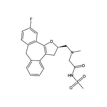 CN(CC(=O)NS(C)(=O)=O)C[C@H]1CC2=C(O1)c1cc(F)ccc1Cc1ccccc12